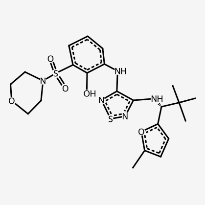 Cc1ccc([C@H](Nc2nsnc2Nc2cccc(S(=O)(=O)N3CCOCC3)c2O)C(C)(C)C)o1